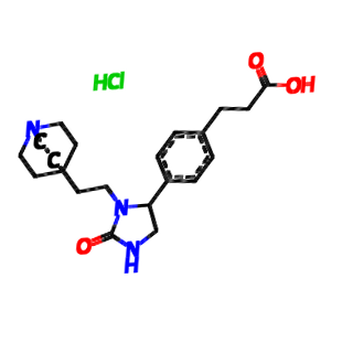 Cl.O=C(O)CCc1ccc(C2CNC(=O)N2CCC23CCN(CC2)CC3)cc1